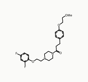 COCCOc1ccc(CCC(=O)N2CCN(CCOc3ccc(F)cc3F)CC2)cc1